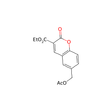 CCOC(=O)c1cc2cc(COC(C)=O)ccc2oc1=O